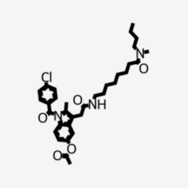 CCCCN(C)C(=O)CCCCCCCNC(=O)Cc1c(C)n(C(=O)c2ccc(Cl)cc2)c2ccc(OC(C)=O)cc12